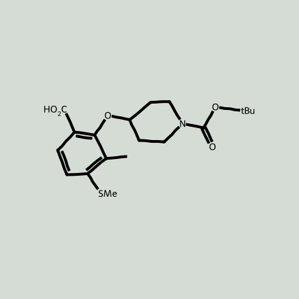 CSc1ccc(C(=O)O)c(OC2CCN(C(=O)OC(C)(C)C)CC2)c1C